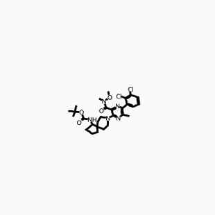 CON(C)C(=O)c1nc(-c2cccc(Cl)c2Cl)c(C)nc1N1CCC2(CCCC2NC(=O)OC(C)(C)C)CC1